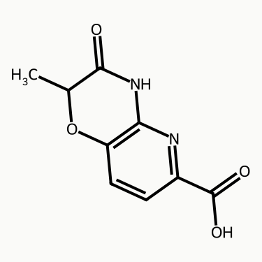 CC1Oc2ccc(C(=O)O)nc2NC1=O